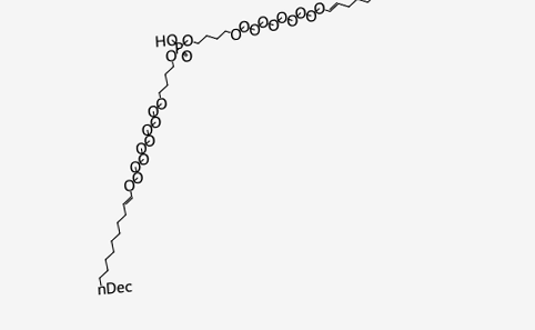 CCCCCCCCCCCCCCCCCCC=COOOOOOOOOOCCCCOP(=O)(O)OCCCCOOOOOOOOOOC=CCCCCCCCCCCCCCCCCCC